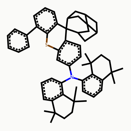 CC1(C)CCC(C)(C)c2c(N(c3ccc4c(c3)Sc3c(-c5ccccc5)cccc3C43C4CC5CC(C4)CC3C5)c3cccc4c3C(C)(C)CCC4(C)C)cccc21